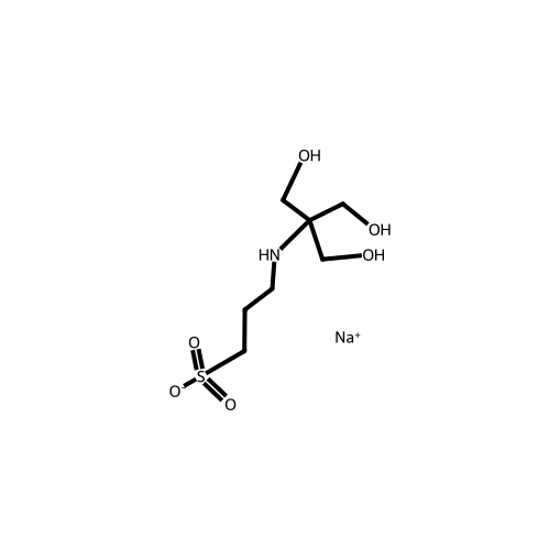 O=S(=O)([O-])CCCNC(CO)(CO)CO.[Na+]